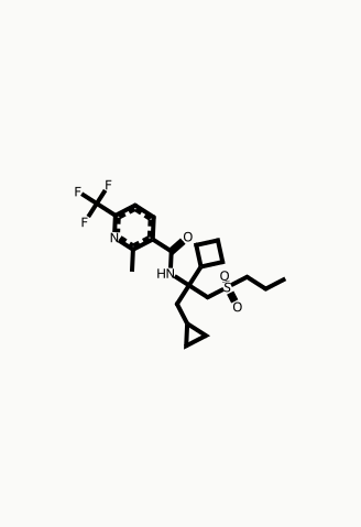 CCCS(=O)(=O)CC(CC1CC1)(NC(=O)c1ccc(C(F)(F)F)nc1C)C1CCC1